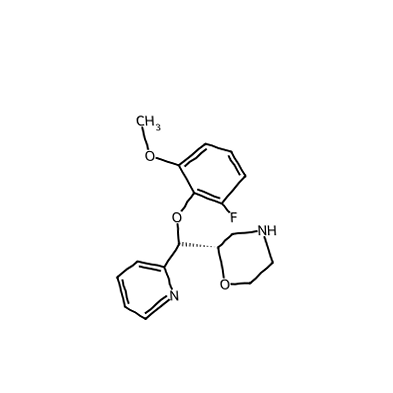 COc1cccc(F)c1OC(c1ccccn1)[C@@H]1CNCCO1